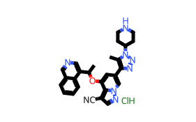 Cc1c(-c2cc(OC(C)c3cncc4ccccc34)c3c(C#N)cnn3c2)nnn1C1CCNCC1.Cl